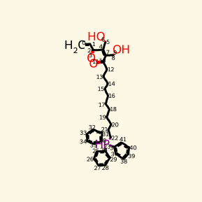 C=CC(=O)/C(CO)=C(/CO)C(=O)CCCCCCCCCCC[PH](c1ccccc1)(c1ccccc1)c1ccccc1